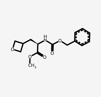 COC(=O)[C@@H](CC1COC1)NC(=O)OCc1ccccc1